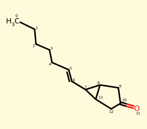 CCCCCC=CC1C2CC(=O)CC12